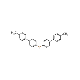 Cc1ccc(-c2ccc(Sc3ccc(-c4ccc(C)cc4)cc3)cc2)cc1